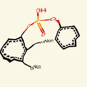 CCCCCCCCCc1cccc(OP(=O)(O)Oc2ccccc2)c1CCCCCCCCC